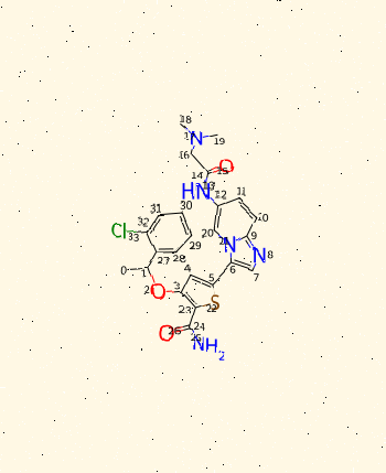 CC(Oc1cc(-c2cnc3ccc(NC(=O)CN(C)C)cn23)sc1C(N)=O)c1ccccc1Cl